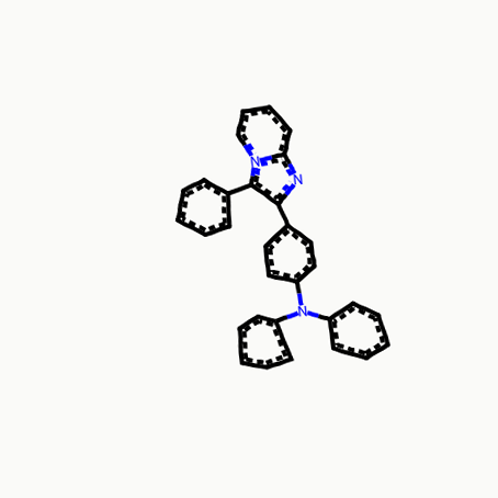 c1ccc(-c2c(-c3ccc(N(c4ccccc4)c4ccccc4)cc3)nc3ccccn23)cc1